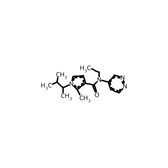 CCN(C(=O)c1ccn(C(C)C(C)C)c1C)c1ccnnc1